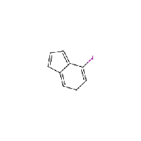 IC1=CCC=C2C=CC=C12